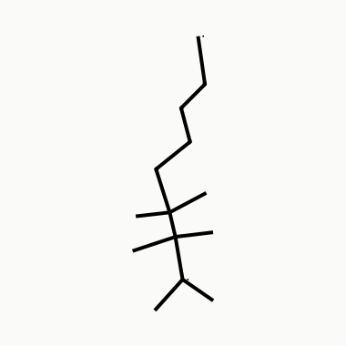 [CH2]CCCCC(C)(C)C(C)(C)[C](C)C